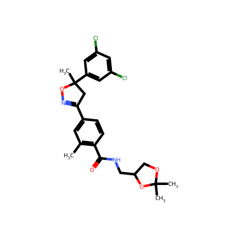 Cc1cc(C2=NOC(C)(c3cc(Cl)cc(Cl)c3)C2)ccc1C(=O)NCC1COC(C)(C)O1